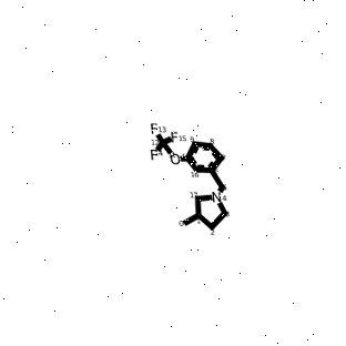 CC1CCN(Cc2cccc(OC(F)(F)F)c2)C1